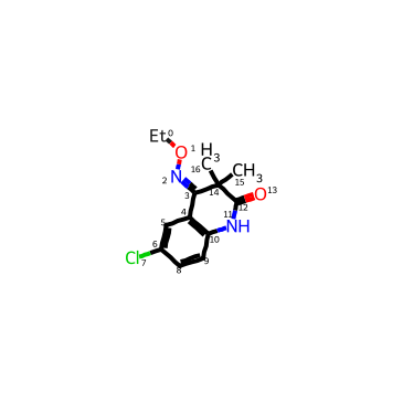 CCON=C1c2cc(Cl)ccc2NC(=O)C1(C)C